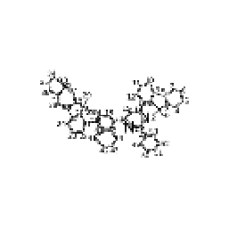 CC1(C)c2ccccc2-c2cccc(-c3cc(-c4ccc(-c5cccc6c5C(C)(C)c5cc7ccccc7cc5-6)c5ccccc45)nc(-c4ccccc4)n3)c21